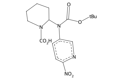 CC(C)(C)OC(=O)N(c1ccc([N+](=O)[O-])nc1)C1CCCCN1C(=O)O